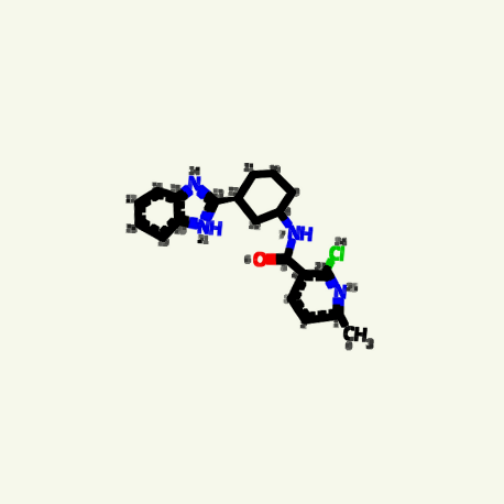 Cc1ccc(C(=O)NC2CCC[C@H](c3nc4ccccc4[nH]3)C2)c(Cl)n1